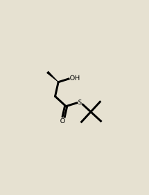 C[C@@H](O)CC(=O)SC(C)(C)C